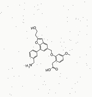 COc1ccc(CC(=O)O)c(OCc2cc(-c3cccc(CN)c3)c3oc(CCO)cc3c2)c1